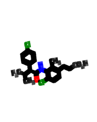 Cc1c(CCC(=O)O)ccc(Cl)c1NC(=O)[C@H](c1ccc(Cl)cc1)[C@@H](C)C(F)(F)F